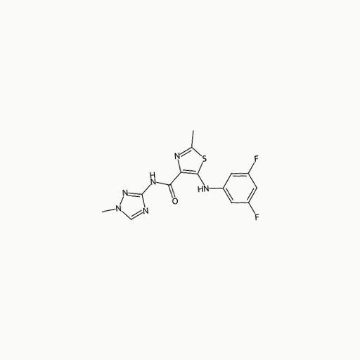 Cc1nc(C(=O)Nc2ncn(C)n2)c(Nc2cc(F)cc(F)c2)s1